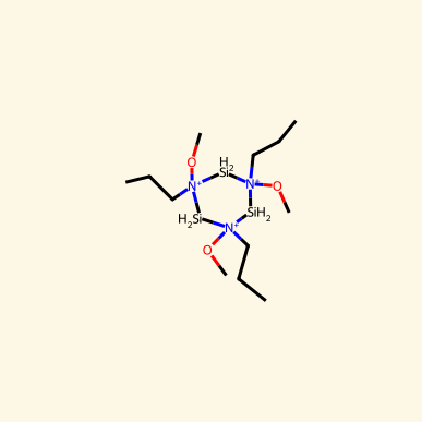 CCC[N+]1(OC)[SiH2][N+](CCC)(OC)[SiH2][N+](CCC)(OC)[SiH2]1